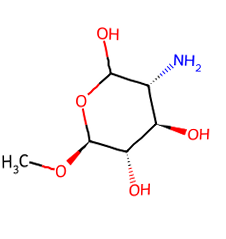 CO[C@H]1OC(O)[C@H](N)[C@@H](O)[C@@H]1O